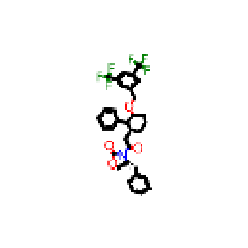 O=C(CC1CCCC(OCc2cc(C(F)(F)F)cc(C(F)(F)F)c2)C1c1ccccc1)N1C(=O)OC[C@H]1Cc1ccccc1